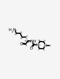 CN1CCN(C(=O)N[C@H](C=O)CCCCN)CC1